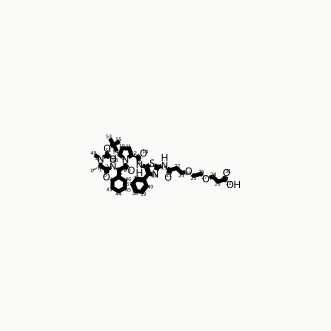 C[C@@H](C(=O)N[C@H](C(=O)N1CCC[C@H]1C(=O)Nc1sc(NC(=O)CCOCCOCCC(=O)O)nc1-c1ccccc1)C1CCCCC1)N(C)C(=O)OC(C)(C)C